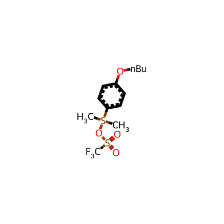 CCCCOc1ccc(S(C)(C)OS(=O)(=O)C(F)(F)F)cc1